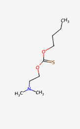 CCCCOC(=S)OCCN(C)C